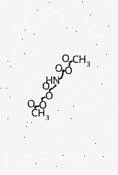 CC(=O)OCOC(=O)CNCC(=O)OC(C)=O